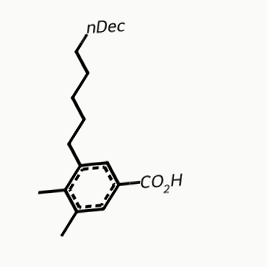 CCCCCCCCCCCCCCCc1cc(C(=O)O)cc(C)c1C